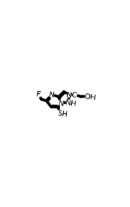 OCCN1C=C2N=C(CF)C=C(S)N2N1